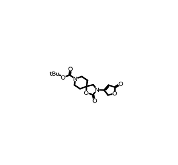 CC(C)(C)OC(=O)N1CCC2(CC1)CN(C1=CC(=O)OC1)C(=O)O2